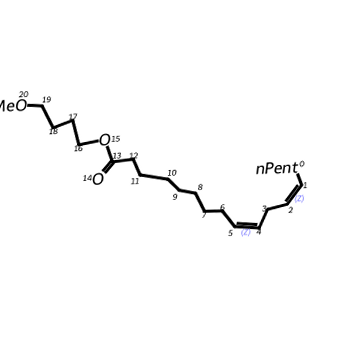 CCCCC/C=C\C/C=C\CCCCCCCC(=O)OCCCCOC